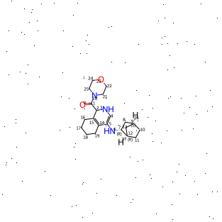 O=C(C1NC=C(N[C@@H]2C[C@H]3CC[C@@H]2C3)C2=C1CCCC2)N1CCOCC1